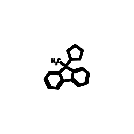 C[P]1(C2CCCC2)c2ccccc2-c2ccccc21